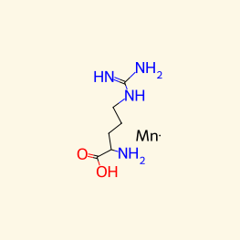 N=C(N)NCCCC(N)C(=O)O.[Mn]